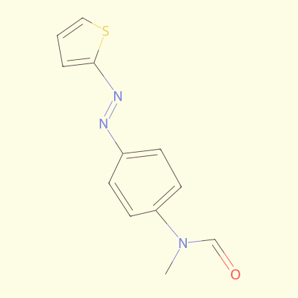 CN(C=O)c1ccc(/N=N/c2cccs2)cc1